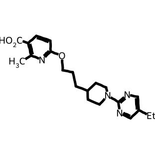 CCc1cnc(N2CCC(CCCOc3ccc(C(=O)O)c(C)n3)CC2)nc1